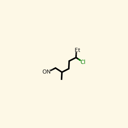 CCC(Cl)CCC(C)CN=O